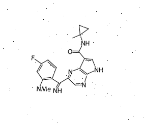 CNc1cc(F)ccc1C(=N)c1cnc2[nH]cc(C(=O)NC3(C)CC3)c2n1